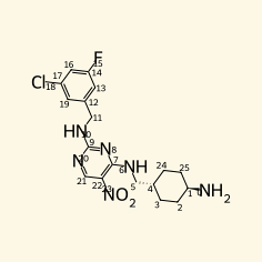 N[C@H]1CC[C@H](CNc2nc(NCc3cc(F)cc(Cl)c3)ncc2[N+](=O)[O-])CC1